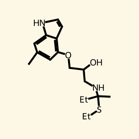 CCSC(C)(CC)NCC(O)COc1cc(C)cc2[nH]ccc12